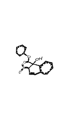 O=C(Oc1ccccc1)C1(O)C(=S(=O)=O)C=Cc2ccccc21